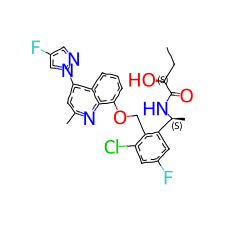 CC[C@H](O)C(=O)N[C@@H](C)c1cc(F)cc(Cl)c1COc1cccc2c(-n3cc(F)cn3)cc(C)nc12